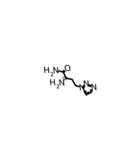 NC(=O)[C@@H](N)CCn1ccnn1